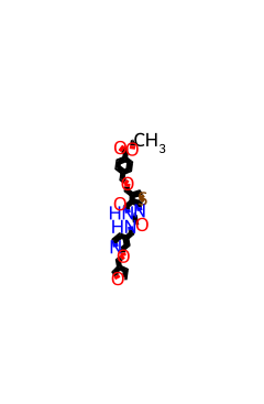 CCOC(=O)c1ccc(COCc2csc3nc(C(=O)NCc4ccnc(OCC5CCOC5)c4)[nH]c(=O)c23)cc1